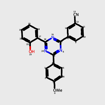 COc1ccc(-c2nc(-c3cccc(C#N)c3)nc(-c3ccccc3O)n2)cc1